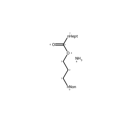 CCCCCCCCCCCCOC(=O)CCCCCCC.N